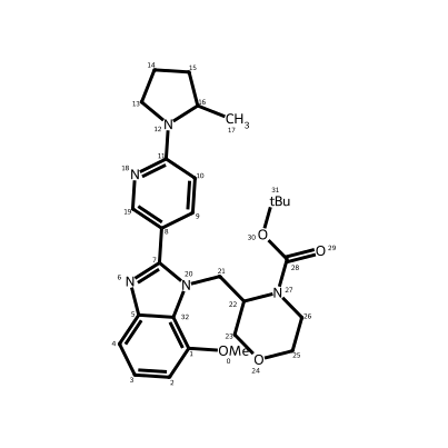 COc1cccc2nc(-c3ccc(N4CCCC4C)nc3)n(CC3COCCN3C(=O)OC(C)(C)C)c12